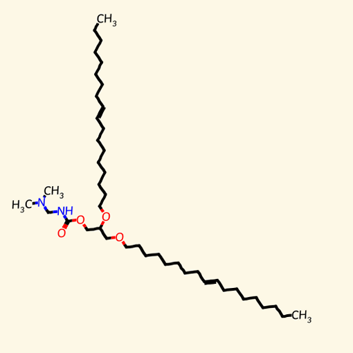 CCCCCCCCC=CCCCCCCCCOCC(COC(=O)NCN(C)C)OCCCCCCCCC=CCCCCCCCC